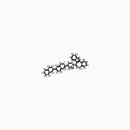 C1=C(c2ccc(-c3ccc4cc(-c5ccc6ccccc6c5)ccc4c3)cn2)c2c(sc3ccccc23)-c2ccccc2C1